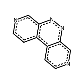 c1cc2c(cn1)nnc1cnccc12